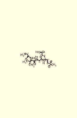 CC(C)[C@H](NC(=O)CN)C(=O)NCC(=O)N[C@H](/C=C/S(C)(=O)=O)CCC(=O)O